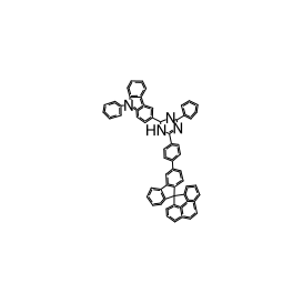 c1ccc(C2=NC(c3ccc4c(c3)c3ccccc3n4-c3ccccc3)NC(c3ccc(-c4ccc5c(c4)-c4ccccc4C54c5cccc6ccc7cccc4c7c56)cc3)=N2)cc1